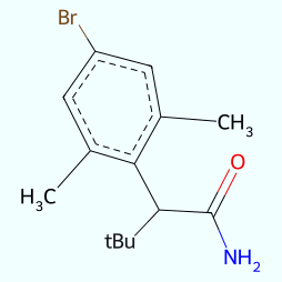 Cc1cc(Br)cc(C)c1C(C(N)=O)C(C)(C)C